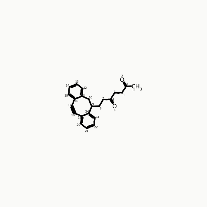 CC(=O)CCC(=O)CCC1Cc2ccccc2C#Cc2ccccc21